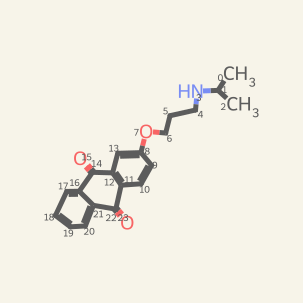 CC(C)NCCCOc1ccc2c(c1)C(=O)c1ccccc1C2=O